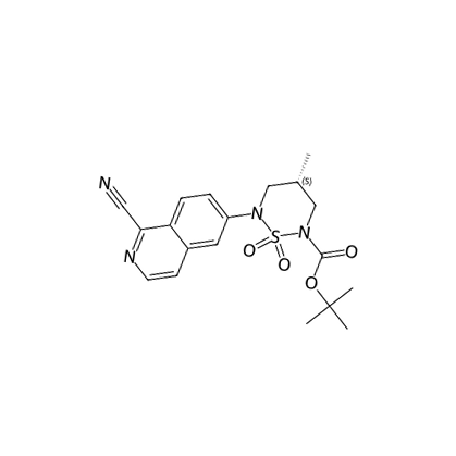 C[C@@H]1CN(C(=O)OC(C)(C)C)S(=O)(=O)N(c2ccc3c(C#N)nccc3c2)C1